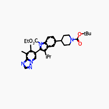 CCOC(=O)n1c(-c2cn3ncnc3c(C)c2C)c(C(C)C)c2cc(C3CCN(C(=O)OC(C)(C)C)CC3)ccc21